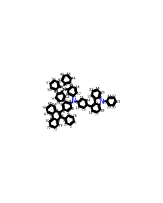 c1ccc(-c2c(-c3ccc(N(c4ccc(-c5cccc6c5c5ccccc5n6-c5ccccc5)cc4)c4cccc([Si](c5ccccc5)(c5ccccc5)c5ccccc5)c4)cc3)c3ccccc3c3ccccc23)cc1